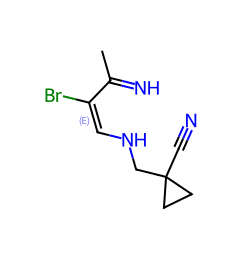 CC(=N)/C(Br)=C\NCC1(C#N)CC1